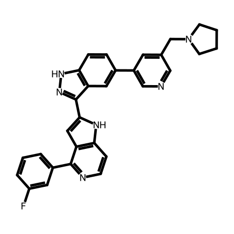 Fc1cccc(-c2nccc3[nH]c(-c4n[nH]c5ccc(-c6cncc(CN7CCCC7)c6)cc45)cc23)c1